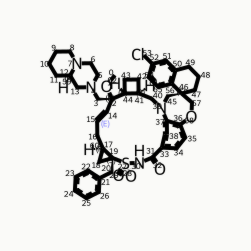 CO[C@@]1(CN2CCN3CCCC[C@@H]3C2)/C=C/C[C@@H]2C[C@@]2(Cc2ccccc2)S(=O)(=O)NC(=O)c2ccc3c(c2)N(C[C@@H]2CC[C@H]21)C[C@@]1(CCCc2cc(Cl)ccc21)CO3